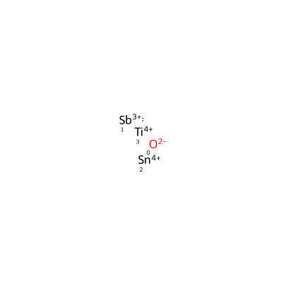 [O-2].[Sb+3].[Sn+4].[Ti+4]